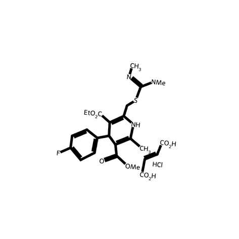 CCOC(=O)C1=C(CSC(=NC)NC)NC(C)=C(C(=O)OC)C1c1ccc(F)cc1.Cl.O=C(O)/C=C/C(=O)O